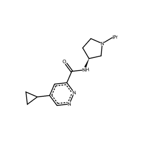 CC(C)N1CC[C@H](NC(=O)c2cc(C3CC3)cnn2)C1